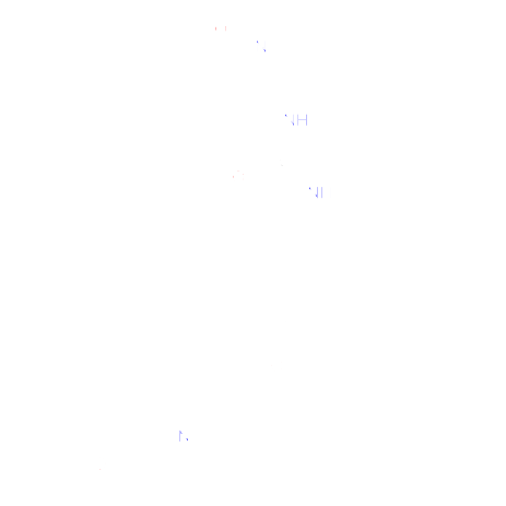 CC(C)(C)c1cc(NC(=O)Nc2ccc(OCCN3CCOCC3)c3ccccc23)no1